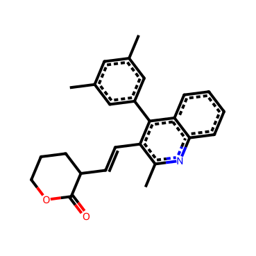 Cc1cc(C)cc(-c2c(C=CC3CCCOC3=O)c(C)nc3ccccc23)c1